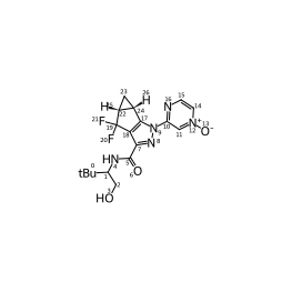 CC(C)(C)C(CO)NC(=O)c1nn(-c2c[n+]([O-])ccn2)c2c1C(F)(F)[C@@H]1C[C@H]21